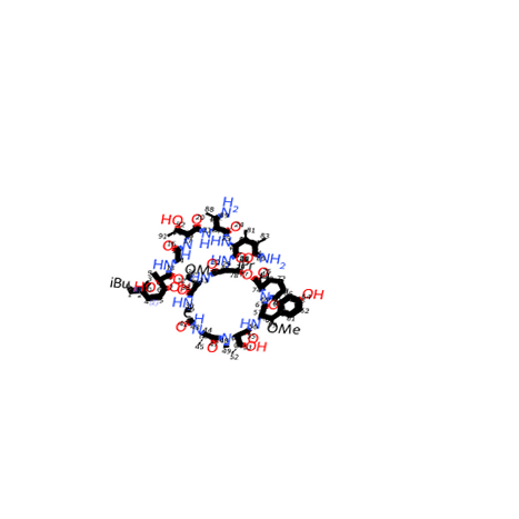 CCC(C)/C=C(C)/C=C\C(O)C(C)(O)C(=O)NCC(=O)N[C@H](C(=O)N[C@H](C(=O)N[C@H](C(=O)N[C@H]1C(=O)N[C@H](COC)C(=O)NCC(=O)N[C@@H](C)C(=O)N(C)[C@@H]([C@@H](C)O)C(=O)N[C@H]([C@H](OC)c2ccc(O)cc2)C(=O)N2CCCC[C@H]2C(=O)O[C@@H]1C(C)C)[C@@H](C)[C@@H](C)C(N)=O)[C@@H](C)N)[C@@H](C)O